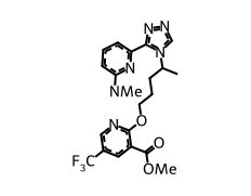 CNc1cccc(-c2nncn2C(C)CCCOc2ncc(C(F)(F)F)cc2C(=O)OC)n1